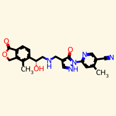 Cc1cc(-n2[nH]cc(CNC[C@H](O)c3ccc4c(c3C)COC4=O)c2=O)ncc1C#N